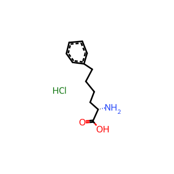 Cl.N[C@@H](CCCCc1ccccc1)C(=O)O